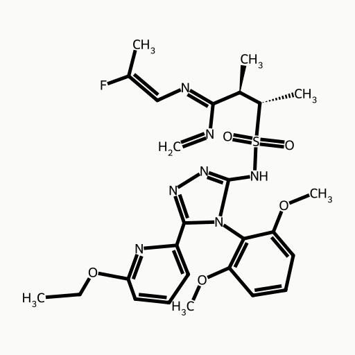 C=N/C(=N\C=C(/C)F)[C@@H](C)[C@H](C)S(=O)(=O)Nc1nnc(-c2cccc(OCC)n2)n1-c1c(OC)cccc1OC